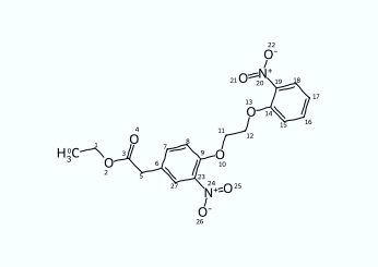 CCOC(=O)Cc1ccc(OCCOc2ccccc2[N+](=O)[O-])c([N+](=O)[O-])c1